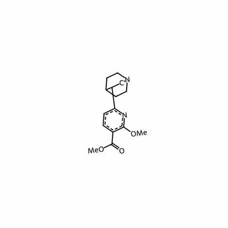 COC(=O)c1ccc(C2CN3CCC2CC3)nc1OC